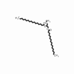 CCCCCCCCCCCCCCCCC(=O)OCC(COP)OC(=O)CCCCCCCCCCCCCCCC